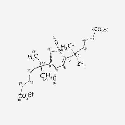 CCOC(=O)CCCC(C)(C)C1=CC(=O)C(C(C)(C)CCCC(=O)OCC)=CC1=O